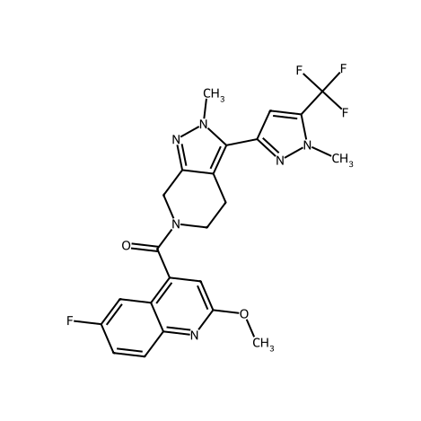 COc1cc(C(=O)N2CCc3c(nn(C)c3-c3cc(C(F)(F)F)n(C)n3)C2)c2cc(F)ccc2n1